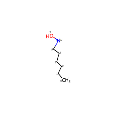 CCCCCC[N]O